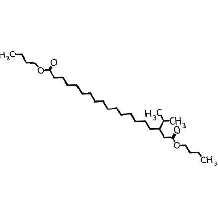 CCCCOC(=O)CCCCCCCCCCCCCCCC(CC(=O)OCCCC)C(C)C